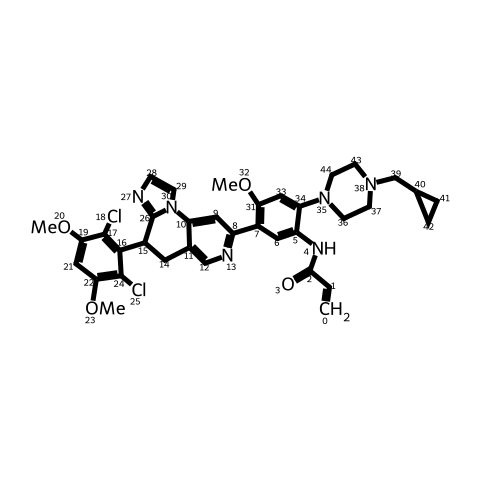 C=CC(=O)Nc1cc(-c2cc3c(cn2)CC(c2c(Cl)c(OC)cc(OC)c2Cl)c2nccn2-3)c(OC)cc1N1CCN(CC2CC2)CC1